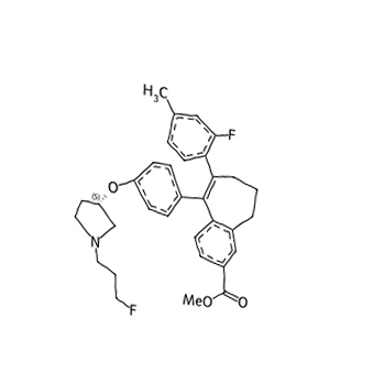 COC(=O)c1ccc2c(c1)CCCC(c1ccc(C)cc1F)=C2c1ccc(O[C@H]2CCN(CCCF)C2)cc1